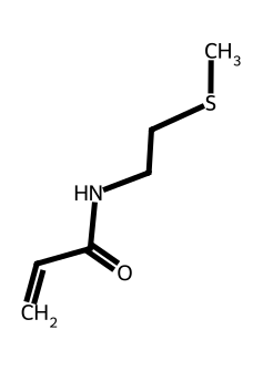 C=CC(=O)NCCSC